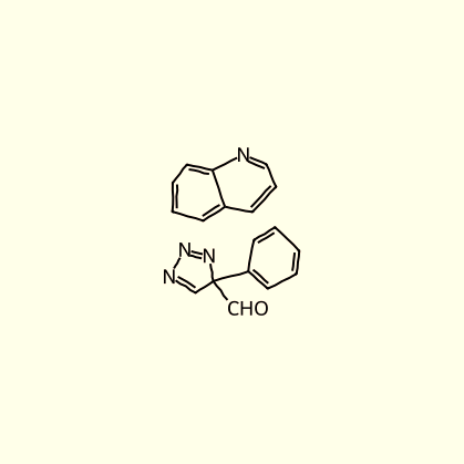 O=CC1(c2ccccc2)C=NN=N1.c1ccc2ncccc2c1